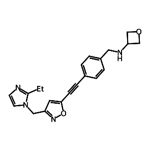 CCc1nccn1Cc1cc(C#Cc2ccc(CNC3COC3)cc2)on1